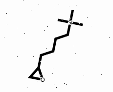 C[Si](C)(C)CCCCC1CO1